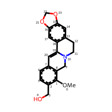 COc1c(CO)ccc2c1CN1CCc3cc4c(cc3C1=C2)OCO4